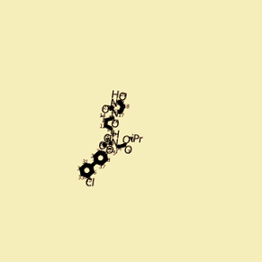 CC(C)OC(=O)[C@H](C)NP(=O)(OC[C@@H]1C[C@H](C)[C@H](n2ccc(=O)[nH]c2=O)O1)Oc1ccc(-c2cccc(Cl)c2)cc1